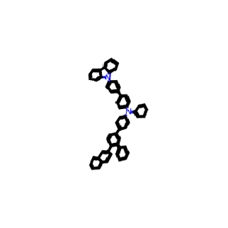 c1ccc(-c2cc(-c3ccc(N(c4ccccc4)c4ccc(-c5ccc(-n6c7ccccc7c7ccccc76)cc5)cc4)cc3)ccc2-c2ccc3ccccc3c2)cc1